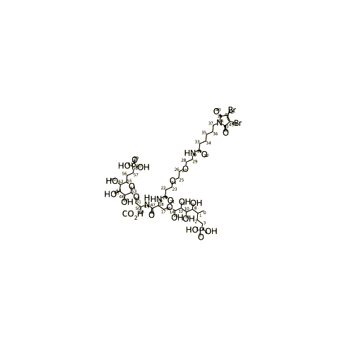 CC(CCP(=O)(O)O)C(O)C(O)C(O)C(O)OCC(NC(=O)CCOCCOCCNC(=O)CCCCCN1C(=O)C(Br)=C(Br)C1=O)C(=O)NC(COC1OC(CCP(=O)(O)O)C(O)C(O)C1O)C(=O)O